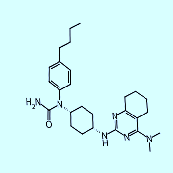 CCCCc1ccc(N(C(N)=O)[C@H]2CC[C@@H](Nc3nc4c(c(N(C)C)n3)CCCC4)CC2)cc1